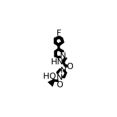 O=C(C1=CN2C=C(c3ccc(F)cc3)C=CC2N1)N1CCN(C(=O)C2(O)CC2)CC1